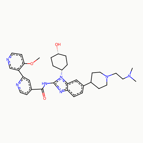 COc1ccncc1-c1cc(C(=O)Nc2nc3ccc(C4CCN(CCN(C)C)CC4)cc3n2[C@H]2CC[C@@H](O)CC2)ccn1